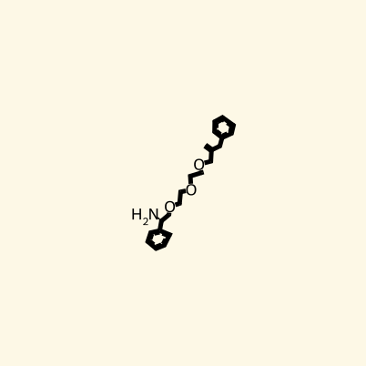 C=C(COCCOCCOC[C@@H](N)c1ccccc1)Cc1ccccc1